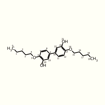 CCCCCOc1ccc(-c2ccc(OCCCCC)c(O)c2)cc1O